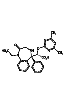 Cc1cc(C)nc(O[C@H](C(=O)O)[C@@]2(c3ccccc3)NCC(=O)N(CC(=O)O)c3ccccc32)n1